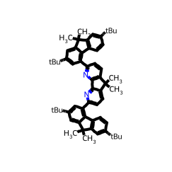 CC(C)(C)c1ccc2c(c1)C(C)(C)c1cc(C(C)(C)C)cc(-c3ccc4c(n3)-c3nc(-c5cc(C(C)(C)C)cc6c5-c5ccc(C(C)(C)C)cc5C6(C)C)ccc3C4(C)C)c1-2